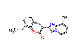 CCc1cccc2cc(-c3cn4cccc(C)c4n3)c(=O)oc12